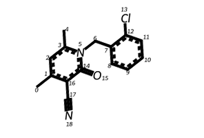 Cc1cc(C)n(Cc2ccccc2Cl)c(=O)c1C#N